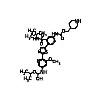 COc1cc(NC(O)OC(C)C)cnc1-c1ncc(-c2ccc(NC(=O)OCC3CCNCC3)cc2S(=O)(=O)NC(C)(C)C)s1